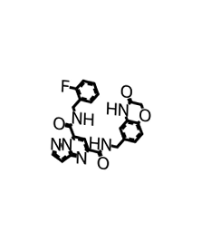 O=C1COc2ccc(CNC(=O)c3cc(C(=O)NCc4ccccc4F)n4nccc4n3)cc2N1